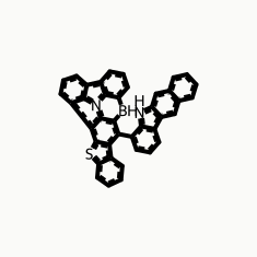 B1c2cccc3c4cccc5c6c7sc8ccccc8c7c(-c7cccc8c7[nH]c7cc9ccccc9cc78)c1c6n(c23)c45